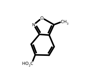 Cc1onc2cc(C(=O)O)ccc12